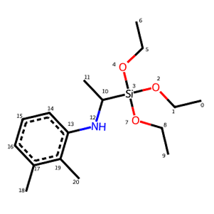 CCO[Si](OCC)(OCC)C(C)Nc1cccc(C)c1C